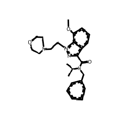 COc1cccc2c(C(=O)N(Cc3ccccc3)C(C)C)nn(CCN3CCOCC3)c12